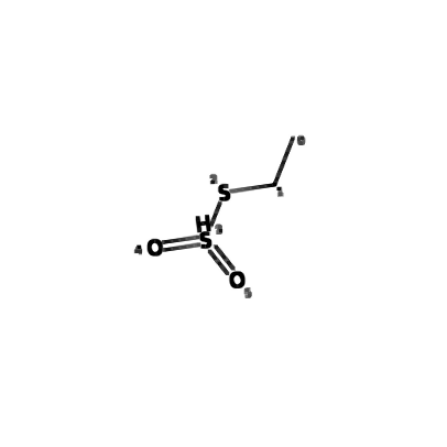 CCS[SH](=O)=O